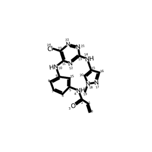 C=CC(=O)Nc1cccc(Nc2nc(Nc3cnn(C)c3)nnc2Cl)c1